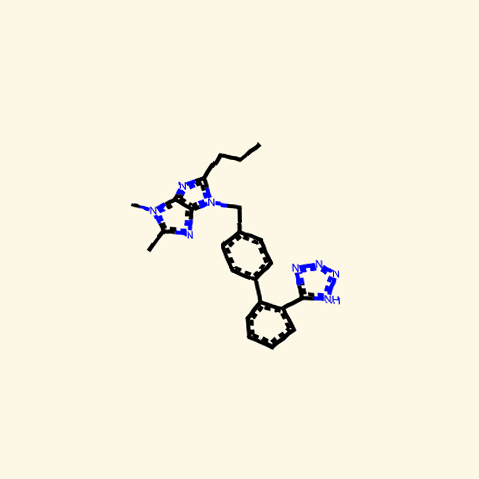 CCCc1nc2c(nc(C)n2C)n1Cc1ccc(-c2ccccc2-c2nnn[nH]2)cc1